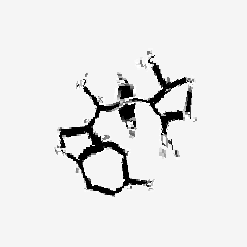 Cc1noc(C)c1S(=O)(=O)C(O)c1c[nH]c2ccc(Cl)cc12